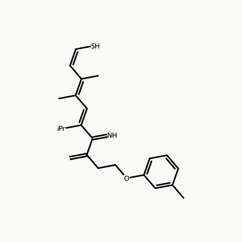 C=C(CCOc1cccc(C)c1)C(=N)/C(=C/C(C)=C(C)/C=C\S)C(C)C